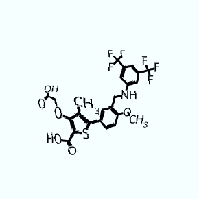 COc1ccc(-c2sc(C(=O)O)c(OCC(=O)O)c2C)cc1CNc1cc(C(F)(F)F)cc(C(F)(F)F)c1